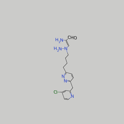 N/C(C=O)=C\N(N)CCCCc1ccc(Cc2cc(Cl)ccn2)nn1